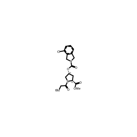 COC(=O)[C@@H]1C[C@@H](OC(=O)N2Cc3cccc(Cl)c3C2)CN1C(=O)CC(C)(C)C